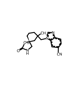 CC1(Cn2cnc3ccc(C#N)cc32)CCC[C@]2(CNC(=O)O2)C1